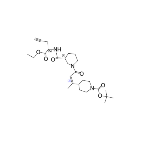 C#CC[C@H](NC(=O)[C@@H]1CCCN(C(=O)/C=C(/C)C2CCN(C(=O)OC(C)(C)C)CC2)C1)C(=O)OCC